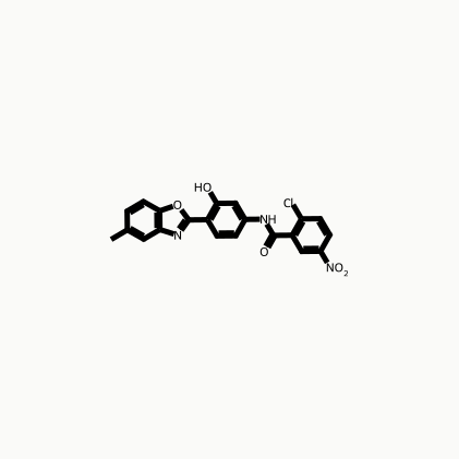 Cc1ccc2oc(-c3ccc(NC(=O)c4cc([N+](=O)[O-])ccc4Cl)cc3O)nc2c1